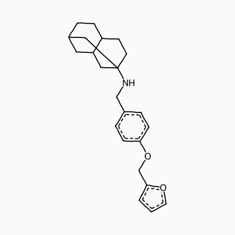 c1coc(COc2ccc(CNC34CCC5CCC(CC5C3)C4)cc2)c1